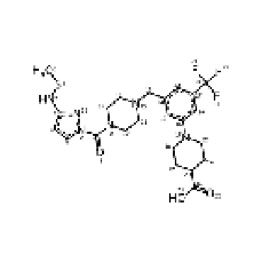 CSNc1ccn(C(=O)N2CCN(Cc3cc(N4CCC(C(=O)O)CC4)cc(C(F)(F)F)c3)CC2)n1